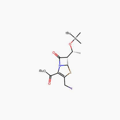 CC(C)COC(=O)C1=C(CI)SC2[C@@H]([C@@H](C)O[Si](C)(C)C(C)(C)C)C(=O)N12